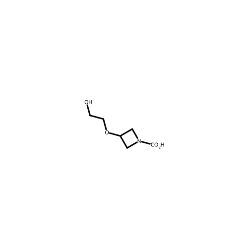 O=C(O)N1CC(OCCO)C1